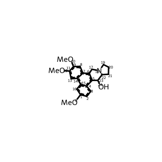 COc1ccc2c3c(c4cc(OC)c(OC)cc4c2c1)CN1CCCC1C3O